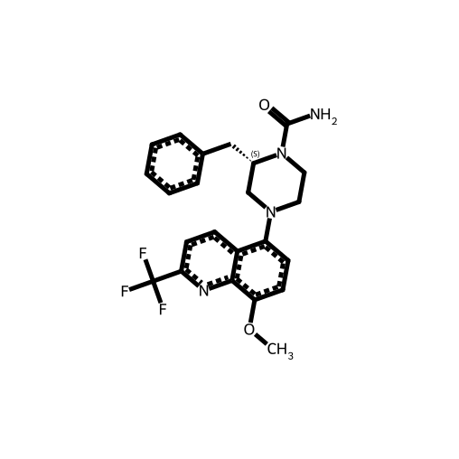 COc1ccc(N2CCN(C(N)=O)[C@@H](Cc3ccccc3)C2)c2ccc(C(F)(F)F)nc12